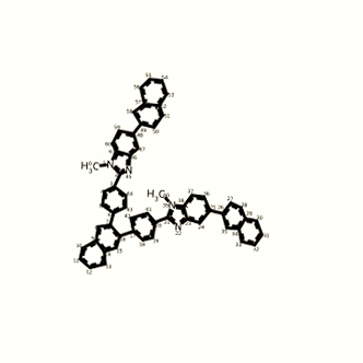 Cn1c(-c2ccc(-c3cc4ccccc4cc3-c3ccc(-c4nc5cc(-c6ccc7ccccc7c6)ccc5n4C)cc3)cc2)nc2cc(-c3ccc4ccccc4c3)ccc21